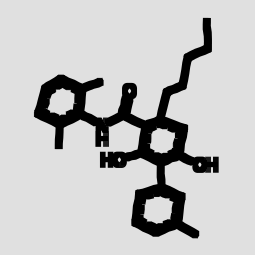 CCCCCc1cc(O)c(-c2cccc(C)c2)c(O)c1C(=O)Nc1c(C)cccc1C